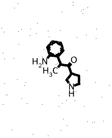 CC(C(=O)C1CCNC1)c1ccccc1N